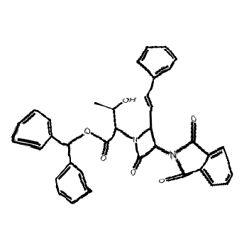 C[C@@H](O)C(C(=O)OC(c1ccccc1)c1ccccc1)N1C(=O)C(N2C(=O)c3ccccc3C2=O)C1C=Cc1ccccc1